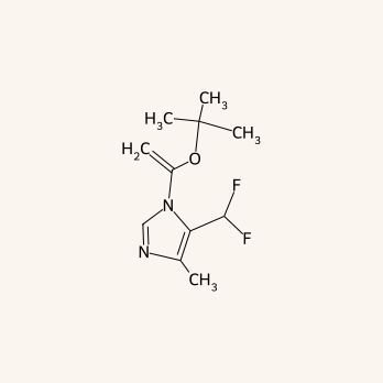 C=C(OC(C)(C)C)n1cnc(C)c1C(F)F